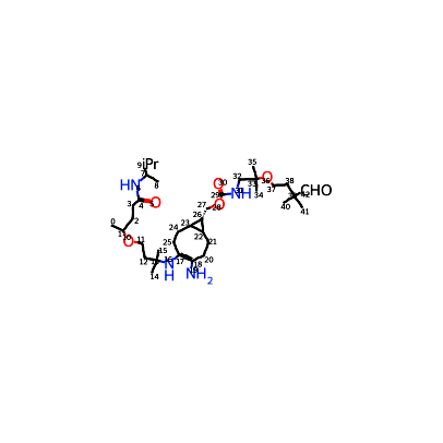 CC(CCC(=O)NC(C)C(C)C)OCCC(C)(C)N/C1=C(\N)CCC2C(CC1)[C@@H]2COC(=O)NCC(C)(C)OCCC(C)(C)C=O